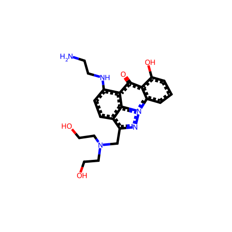 NCCNc1ccc2c(CN(CCO)CCO)nn3c4cccc(O)c4c(=O)c1c23